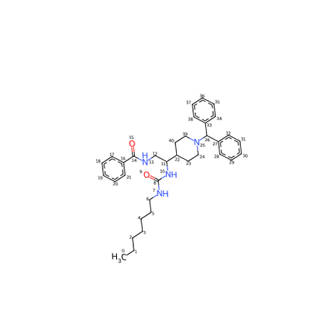 CCCCCCCNC(=O)NC(CNC(=O)c1ccccc1)C1CCN(C(c2ccccc2)c2ccccc2)CC1